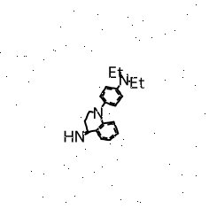 CCN(CC)c1ccc(N2CCC(=N)c3ccccc32)cc1